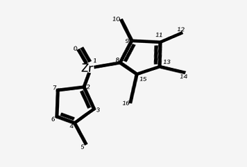 [CH2]=[Zr]([C]1=CC(C)=CC1)[C]1=C(C)C(C)=C(C)C1C